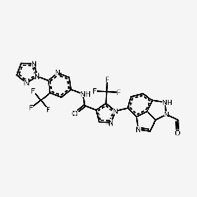 O=CN1Nc2ccc(-n3ncc(C(=O)Nc4cnc(-n5nccn5)c(C(F)(F)F)c4)c3C(F)(F)F)c3c2C1C=N3